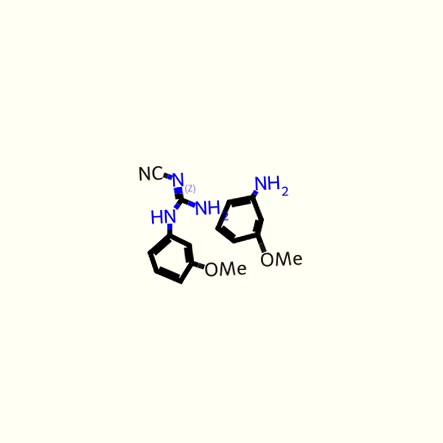 COc1cccc(N)c1.COc1cccc(N/C(N)=N\C#N)c1